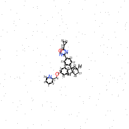 c1ccc(COc2ccc([C@@]3(c4ccc(-c5noc(C6CC6)n5)cc4)C[C@@H]4CC[C@H]3C4)cc2)nc1